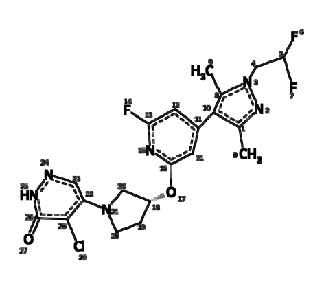 Cc1nn(CC(F)F)c(C)c1-c1cc(F)nc(O[C@@H]2CCN(c3cn[nH]c(=O)c3Cl)C2)c1